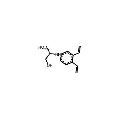 C=Cc1ccccc1C=C.N[C@@H](CO)C(=O)O